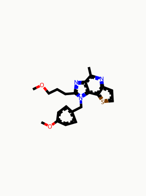 COCCCc1nc2c(C)nc3ccsc3c2n1Cc1ccc(OC)cc1